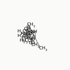 CCCCCCCCCCNCCC(=O)N[C@@H](CCCCC)C(=O)N[C@H](C(=O)N[C@@H](C)C(=O)N[C@@H](CC)C(=O)N[C@@H](C)C(=O)C(=O)OC)[C@@H](C)O